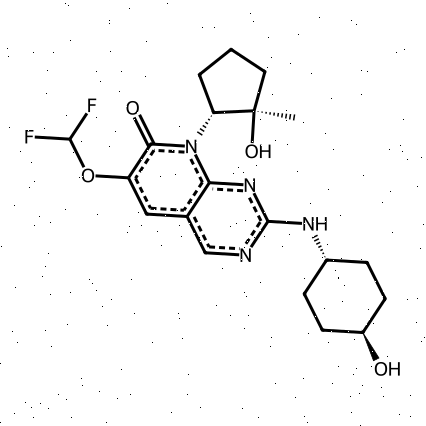 C[C@@]1(O)CCC[C@H]1n1c(=O)c(OC(F)F)cc2cnc(N[C@H]3CC[C@H](O)CC3)nc21